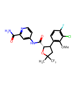 COc1c(C2CC(C)(C(F)(F)F)O[C@@H]2C(=O)Nc2ccnc(C(N)=O)c2)ccc(F)c1Cl